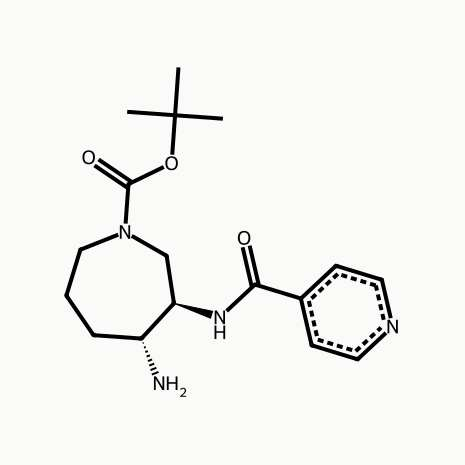 CC(C)(C)OC(=O)N1CCC[C@@H](N)[C@H](NC(=O)c2ccncc2)C1